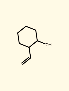 C=CC1CCCC[C]1O